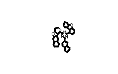 c1ccc2cc(-c3nc(-c4cccc5oc6ccccc6c45)nc(-c4nccc5oc6cc7ccccc7cc6c45)n3)ccc2c1